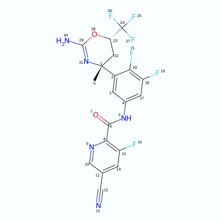 C[C@]1(c2cc(NC(=O)c3ncc(C#N)cc3F)cc(F)c2F)C[C@@H](C(F)(F)F)OC(N)=N1